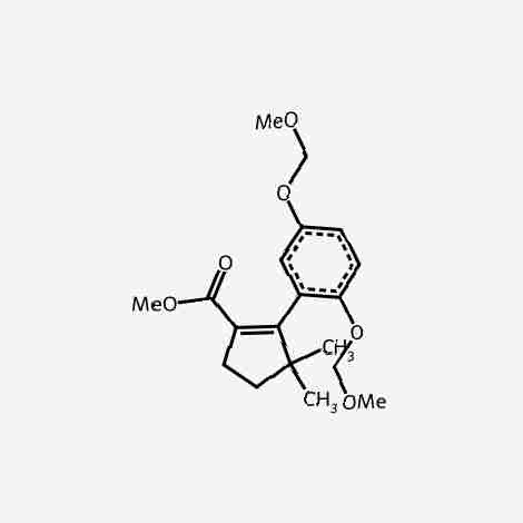 COCOc1ccc(OCOC)c(C2=C(C(=O)OC)CCC2(C)C)c1